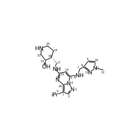 CC(C)c1cnn2c(NCc3ccn(C)n3)cc(NC[C@H]3CCNC[C@@H]3O)nc12